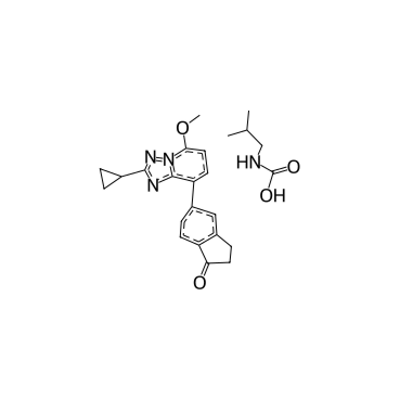 CC(C)CNC(=O)O.COc1ccc(-c2ccc3c(c2)CCC3=O)c2nc(C3CC3)nn12